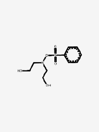 O=S(=O)(ON(CCO)CCO)c1ccccc1